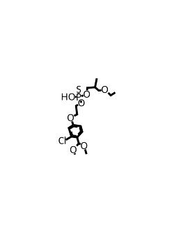 CCOCC(C)COP(O)(=S)OCCOc1ccc(C(OC)OC)c(Cl)c1